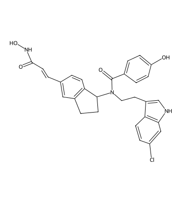 O=C(/C=C/c1ccc2c(c1)CCC2N(CCc1c[nH]c2cc(Cl)ccc12)C(=O)c1ccc(O)cc1)NO